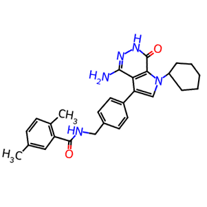 Cc1ccc(C)c(C(=O)NCc2ccc(-c3cn(C4CCCCC4)c4c(=O)[nH]nc(N)c34)cc2)c1